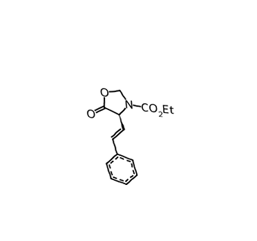 CCOC(=O)N1COC(=O)[C@@H]1C=Cc1ccccc1